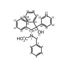 O=C(O)N(Cc1ccccc1)[C@H](c1ccccc1)C(O)(c1cccnc1)c1cccnc1